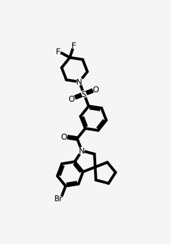 O=C(c1cccc(S(=O)(=O)N2CCC(F)(F)CC2)c1)N1CC2(CCCC2)c2cc(Br)ccc21